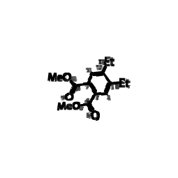 CCc1cc(C(=O)OC)c(C(=O)OC)cc1CC